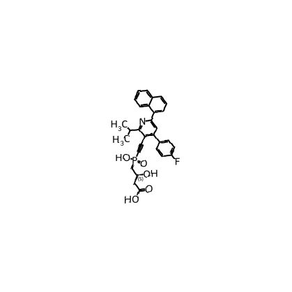 CC(C)c1nc(-c2cccc3ccccc23)cc(-c2ccc(F)cc2)c1C#CP(=O)(O)C[C@@H](O)CC(=O)O